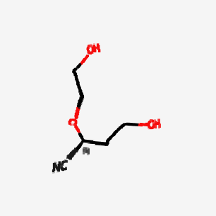 N#C[C@H](CCO)OCCO